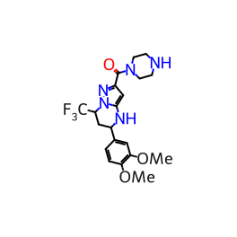 COc1ccc(C2CC(C(F)(F)F)n3nc(C(=O)N4CCNCC4)cc3N2)cc1OC